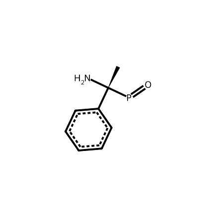 C[C@@](N)(P=O)c1ccccc1